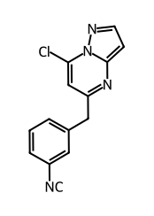 [C-]#[N+]c1cccc(Cc2cc(Cl)n3nccc3n2)c1